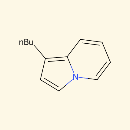 CCCCc1ccn2ccccc12